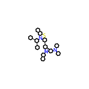 c1ccc(-c2cc(-c3ccccc3)cc(N3c4cc(-c5ccc6c(c5)c5cc(N(c7ccccc7)c7ccccc7)ccc5n6-c5ccc6ccccc6c5)ccc4Sc4cc5ccccc5cc43)c2)cc1